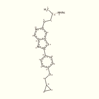 CC(=O)N[C@@H](C)COc1cc2sc(-c3ccc(OCC4CC4)cc3)nc2cn1